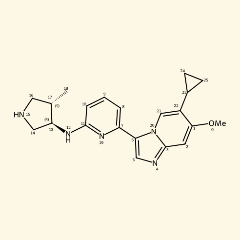 COc1cc2ncc(-c3cccc(N[C@H]4CNC[C@@H]4C)n3)n2cc1C1CC1